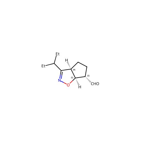 CCC(CC)C1=NO[C@H]2[C@@H]1CC[C@@H]2C=O